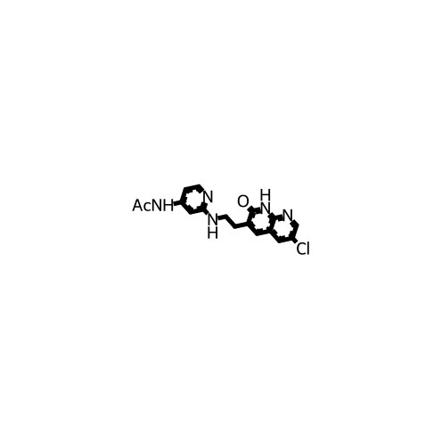 CC(=O)Nc1ccnc(NCCc2cc3cc(Cl)cnc3[nH]c2=O)c1